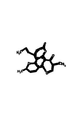 CCCc1cc(=O)oc2c3c(c4c(c12)OC(C)C=C4)OCC(C)C3=O